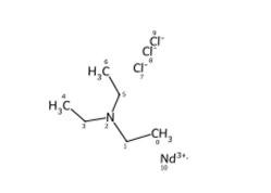 CCN(CC)CC.[Cl-].[Cl-].[Cl-].[Nd+3]